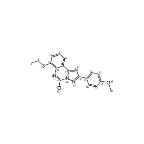 CCSc1cccc2c1nc(Cl)n1nc(-c3ccc(OC)cc3)nc21